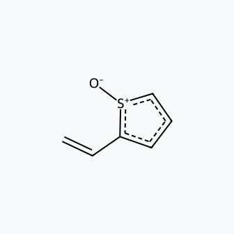 C=Cc1ccc[s+]1[O-]